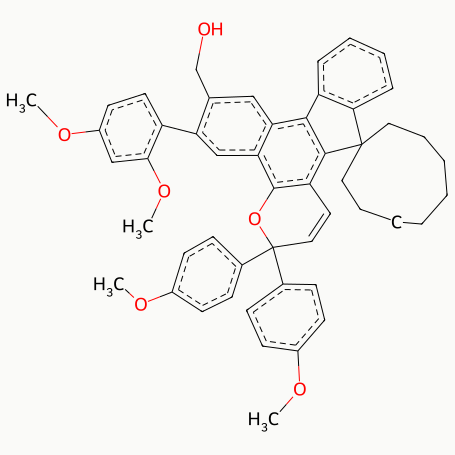 COc1ccc(C2(c3ccc(OC)cc3)C=Cc3c4c(c5cc(CO)c(-c6ccc(OC)cc6OC)cc5c3O2)-c2ccccc2C42CCCCCCCC2)cc1